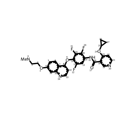 CNCCOc1ccc2c(Oc3c(F)cc(NC(=O)c4cnccc4OC4CC4)c(F)c3F)ccnc2c1